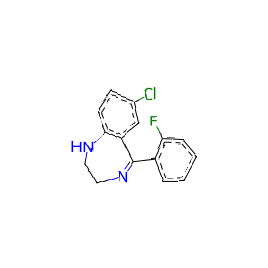 Fc1ccccc1C1=NCCNc2ccc(Cl)cc21